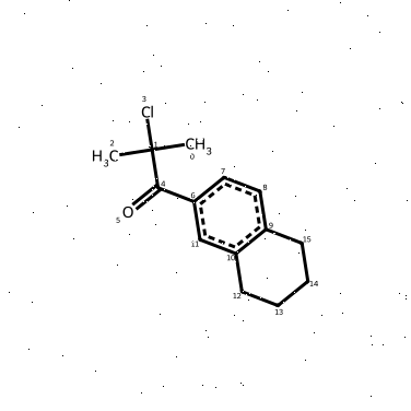 CC(C)(Cl)C(=O)c1ccc2c(c1)CCCC2